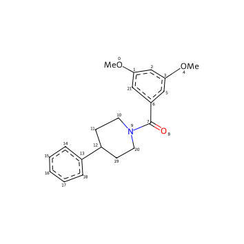 COc1cc(OC)cc(C(=O)N2CCC(c3ccccc3)CC2)c1